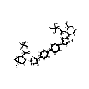 CC[C@@H](c1nc(-c2ccc(-c3ccc(-c4c[nH]c([C@@H]5C[C@@]6(C)CC6N5C(=O)OC(C)(C)C)n4)cc3)cc2)c[nH]1)N(C(=O)OC(C)(C)C)C(C)C